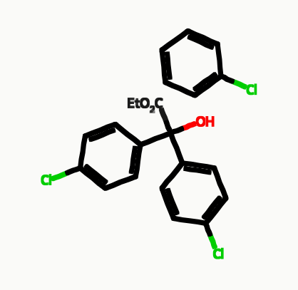 CCOC(=O)C(O)(c1ccc(Cl)cc1)c1ccc(Cl)cc1.Clc1ccccc1